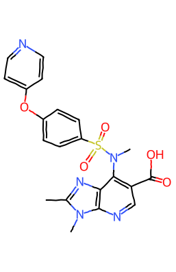 Cc1nc2c(N(C)S(=O)(=O)c3ccc(Oc4ccncc4)cc3)c(C(=O)O)cnc2n1C